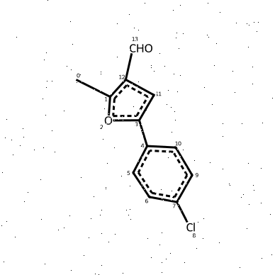 Cc1oc(-c2ccc(Cl)cc2)cc1C=O